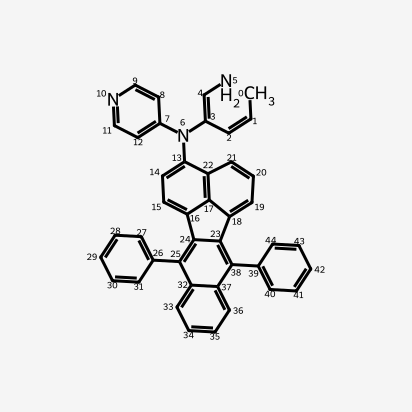 C/C=C\C(=C/N)N(c1ccncc1)c1ccc2c3c(cccc13)-c1c-2c(-c2ccccc2)c2ccccc2c1-c1ccccc1